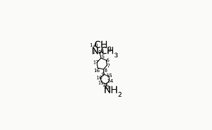 C/C=N\C(C)C1CCC(C2CCC(N)CC2)CC1